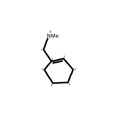 CNCC1=CCCCC1